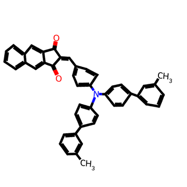 Cc1cccc(-c2ccc(N(c3ccc(C=C4C(=O)c5cc6ccccc6cc5C4=O)cc3)c3ccc(-c4cccc(C)c4)cc3)cc2)c1